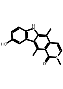 Cc1c2ccn(C)c(=O)c2c(C)c2c1[nH]c1ccc(O)cc12